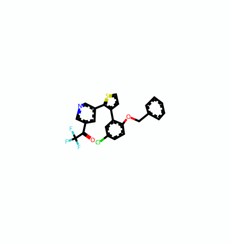 O=C(c1cncc(-c2sccc2-c2cc(Cl)ccc2OCc2ccccc2)c1)C(F)(F)F